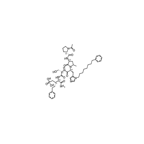 CC(=O)N1CCC[C@H]1C(=O)N[C@H]1CC(C)N([C@@H](Cc2cncn2CCCCCCCCc2ccccc2)C(=O)N[C@@H](CO)C(=O)N[C@@H](C(N)=O)[C@H](CCc2ccccc2)CP(=O)(O)O)C1=O